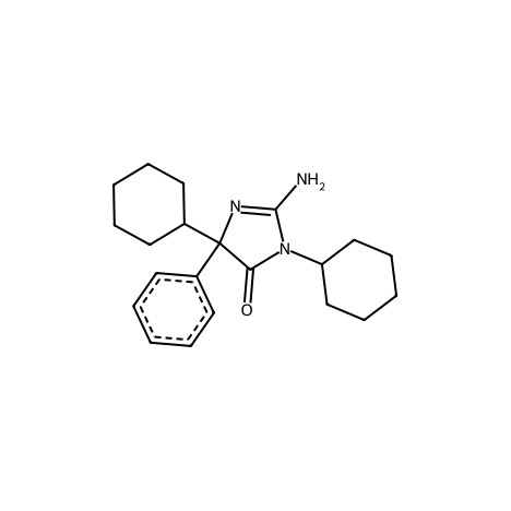 NC1=NC(c2ccccc2)(C2CCCCC2)C(=O)N1C1CCCCC1